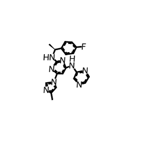 Cc1cn(-c2cc(Nc3cnccn3)nc(N[C@@H](C)c3ccc(F)cc3)n2)cn1